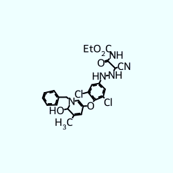 CCOC(=O)NC(=O)C(C#N)NNc1cc(Cl)c(OC2=CN(Cc3ccccc3)C(O)C(C)=C2)c(Cl)c1